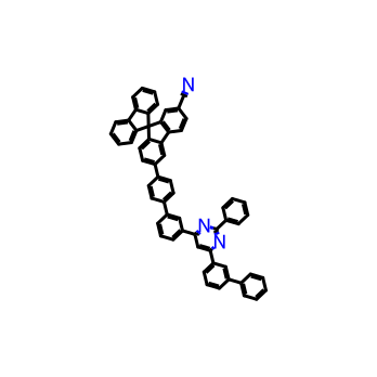 N#Cc1ccc2c(c1)C1(c3ccccc3-c3ccccc31)c1ccc(-c3ccc(-c4cccc(-c5cc(-c6cccc(-c7ccccc7)c6)nc(-c6ccccc6)n5)c4)cc3)cc1-2